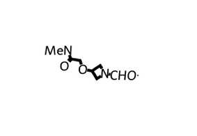 CNC(=O)COC1CN([C]=O)C1